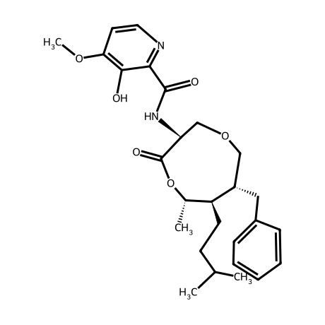 COc1ccnc(C(=O)N[C@H]2COC[C@H](Cc3ccccc3)[C@@H](CCC(C)C)[C@H](C)OC2=O)c1O